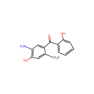 Nc1cc(C(=O)c2ccccc2O)c(C(=O)O)cc1O